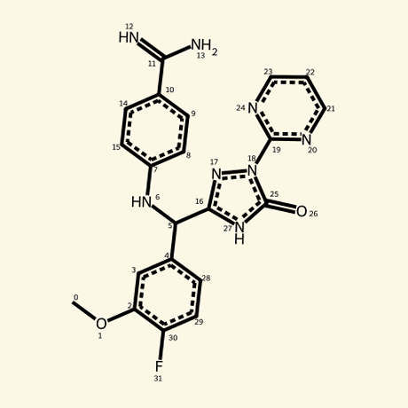 COc1cc(C(Nc2ccc(C(=N)N)cc2)c2nn(-c3ncccn3)c(=O)[nH]2)ccc1F